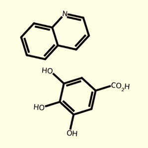 O=C(O)c1cc(O)c(O)c(O)c1.c1ccc2ncccc2c1